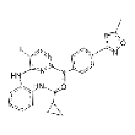 Cc1cc(-c2ccc(Nc3ncc(I)c(Nc4ccccc4NC(=O)C4CC4)n3)cc2)no1